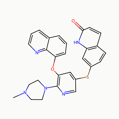 CN1CCN(c2ncc(Sc3ccc4ccc(=O)[nH]c4c3)cc2Oc2cccc3cccnc23)CC1